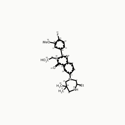 CCC1CN(c2ccc3nc(-c4ccc(F)c(OC)c4)n(CC(=O)O)c(=O)c3c2)CC(C)(C)CN1